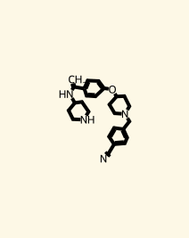 C=C(NC1CCNCC1)c1ccc(OC2CCN(Cc3ccc(C#N)cc3)CC2)cc1